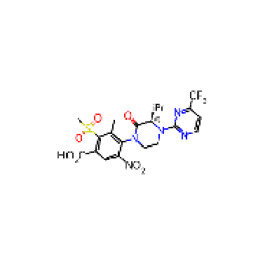 Cc1c(N2CCN(c3nccc(C(F)(F)F)n3)[C@H](C(C)C)C2=O)c([N+](=O)[O-])cc(C(=O)O)c1S(C)(=O)=O